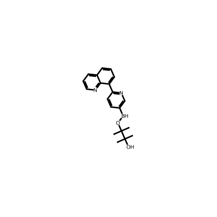 CC(C)(O)C(C)(C)OBc1ccc(-c2cccc3cccnc23)nc1